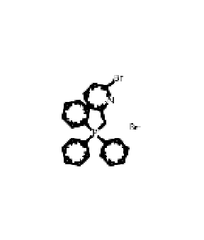 Brc1cccc(C[P+](c2ccccc2)(c2ccccc2)c2ccccc2)n1.[Br-]